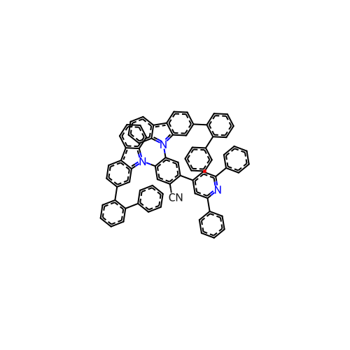 N#Cc1cc(-n2c3ccccc3c3ccc(-c4ccccc4-c4ccccc4)cc32)c(-n2c3ccccc3c3ccc(-c4ccccc4-c4ccccc4)cc32)cc1-c1cc(-c2ccccc2)nc(-c2ccccc2)c1